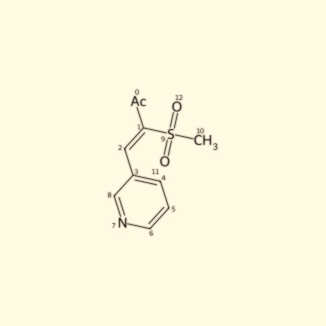 CC(=O)C(=Cc1cccnc1)S(C)(=O)=O